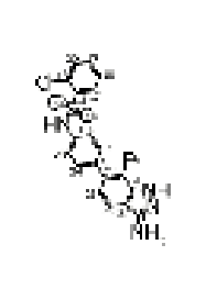 Nc1n[nH]c2c(F)c(-c3ccc(NS(=O)(=O)c4ccccc4Cl)cc3)ccc12